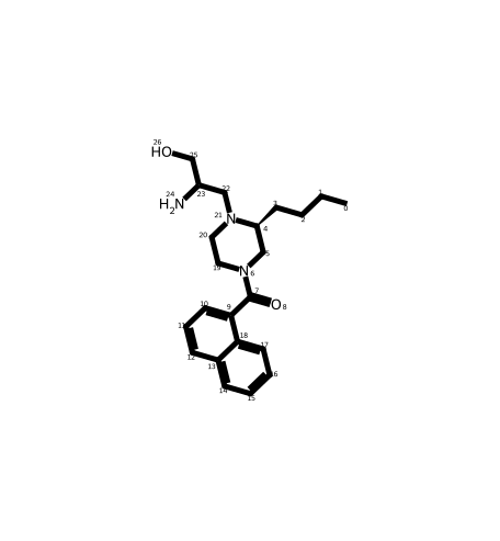 CCCC[C@H]1CN(C(=O)c2cccc3ccccc23)CCN1CC(N)CO